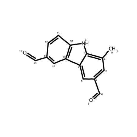 Cc1cc(C=O)cc2c1[nH]c1ccc(C=O)cc12